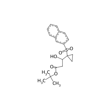 CC(C)(C)OC(=O)CC(O)C1(S(=O)(=O)c2ccc3ccccc3c2)CC1